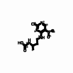 CC(CCNc1nc(Cl)ncc1[N+](=O)[O-])NC(=O)O